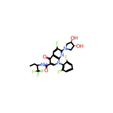 CCC(NC(=O)c1cn(-c2c(F)cccc2F)c2nc(N3C[C@@H](O)[C@H](O)C3)c(F)cc2c1=O)C(F)(F)F